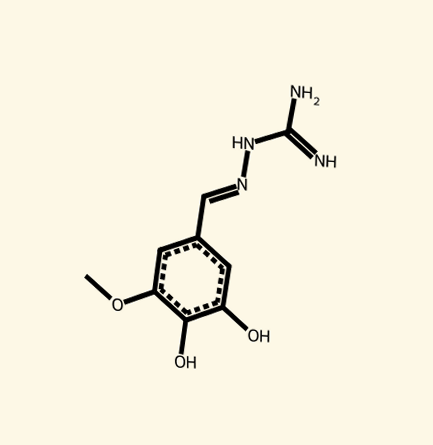 COc1cc(C=NNC(=N)N)cc(O)c1O